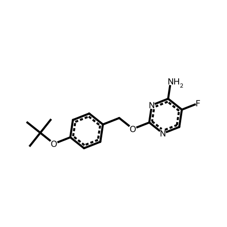 CC(C)(C)Oc1ccc(COc2ncc(F)c(N)n2)cc1